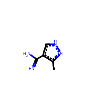 Cc1n[nH]cc1C(=N)N